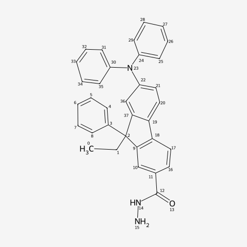 CCC1(c2ccccc2)c2cc(C(=O)NN)ccc2-c2ccc(N(c3ccccc3)c3ccccc3)cc21